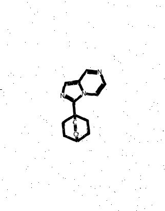 c1cn2c(C34CCC(CC3)OC4)ncc2cn1